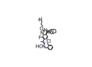 C/C(=C\C(O)=C/c1ccccc1C)c1c(Cl)cc2c(N3CC4CCC(C3)N4)nc(OCCCN(C)C)nc2c1F